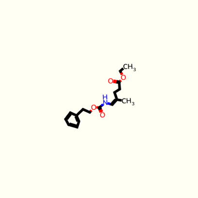 CCOC(=O)CCC(C)=CNC(=O)OCCc1ccccc1